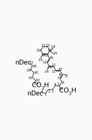 CCCCCCCCCCCCCCC(CC=C(C)C=CC=C(C)C=CC1=C(C)CCCC1(C)C)C(=O)O.CCCCCCCCCCCCCCCC(=O)O